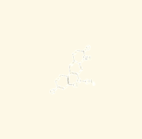 COc1cc2[nH]c(=O)ccc2cc1-c1ccc(Cl)cc1Cl